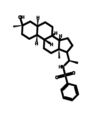 C[C@@H](NS(=O)(=O)c1ccccc1)C1CC[C@H]2[C@@H]3CC[C@@H]4C[C@](C)(O)CC[C@@H]4[C@H]3CC[C@]12C